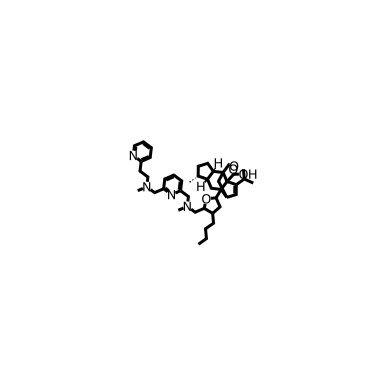 CCCCC1CC(C23C[C@@H]4[C@H](C)CC[C@H]4C4(C=O)CC2C=C(C(C)C)C34C(=O)O)OC1CN(C)Cc1cccc(CN(C)CCc2ccccn2)n1